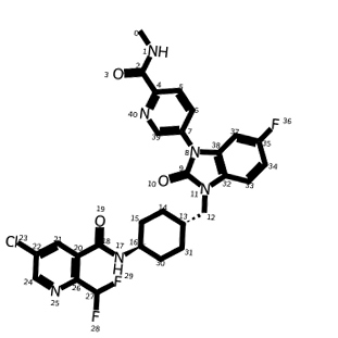 CNC(=O)c1ccc(-n2c(=O)n(C[C@H]3CC[C@H](NC(=O)c4cc(Cl)cnc4C(F)F)CC3)c3ccc(F)cc32)cn1